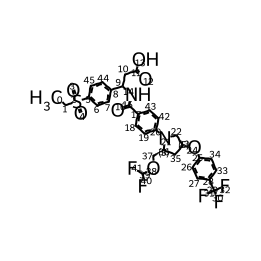 CCS(=O)(=O)c1ccc(C(CC(=O)O)NC(=O)c2ccc(N3C[C@@H](Oc4ccc(C(F)(F)F)cc4)C[C@H]3COC(F)F)cc2)cc1